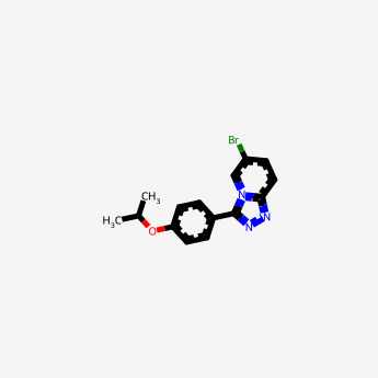 CC(C)Oc1ccc(-c2nnc3ccc(Br)cn23)cc1